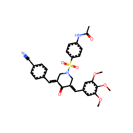 COc1cc(C=C2CN(S(=O)(=O)c3ccc(NC(C)=O)cc3)CC(=Cc3ccc(C#N)cc3)C2=O)cc(OC)c1OC